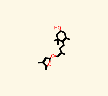 C=C1OC(O/C=C(/C)CCC2=C(C)CC(O)CC2(C)C)C=C1C